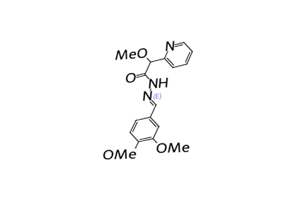 COc1ccc(/C=N/NC(=O)C(OC)c2ccccn2)cc1OC